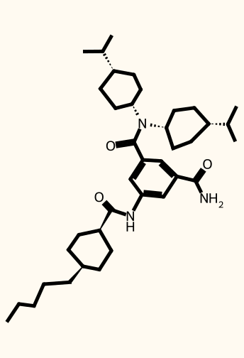 CCCCC[C@H]1CC[C@@H](C(=O)Nc2cc(C(N)=O)cc(C(=O)N([C@H]3CC[C@@H](C(C)C)CC3)[C@H]3CC[C@@H](C(C)C)CC3)c2)CC1